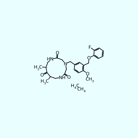 C.C.COc1ccc(CN2CC(=O)NC[C](C)C(=O)C(C)CNC(=O)C2)cc1COc1ccccc1F